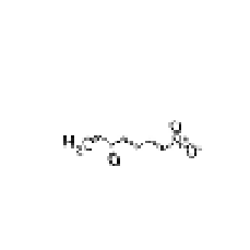 C=CC(=O)C=CC=C[N+](=O)[O-]